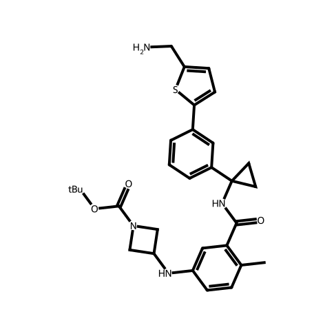 Cc1ccc(NC2CN(C(=O)OC(C)(C)C)C2)cc1C(=O)NC1(c2cccc(-c3ccc(CN)s3)c2)CC1